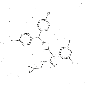 O=C(NCC1CC1)[C@@H](c1cc(F)cc(F)c1)C1CN(C(c2ccc(Cl)cc2)c2ccc(Cl)cc2)C1